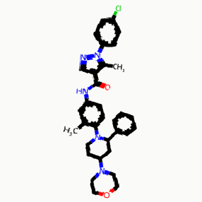 Cc1cc(NC(=O)c2cnn(-c3ccc(Cl)cc3)c2C)ccc1N1CCC(N2CCOCC2)CC1c1ccccc1